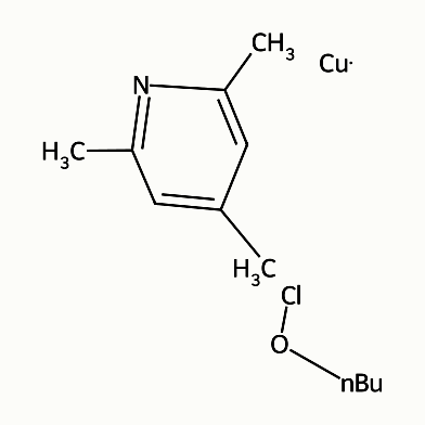 CCCCOCl.Cc1cc(C)nc(C)c1.[Cu]